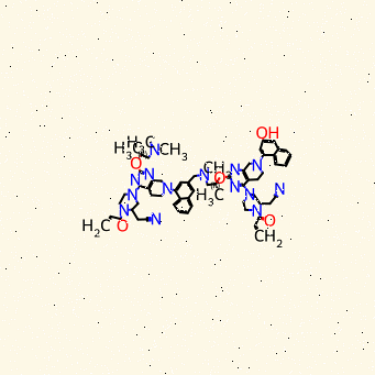 C=CC(=O)N1CCN(c2nc(O[C@H](C)CN(C)C)nc3c2CCN(c2cc(CN(C)C[C@@H](C)Oc4nc5c(c(N6CCN(C(=O)C=C)C(CC#N)C6)n4)CCN(c4cc(O)cc6ccccc46)C5)cc4ccccc24)C3)CC1CC#N